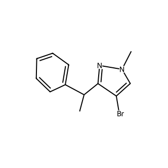 CC(c1ccccc1)c1nn(C)cc1Br